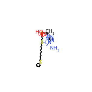 C[C@H](Cn1cnc2c(N)ncnc21)OCP(=O)(O)OCCCSCCCCCCCCCCCSc1ccccc1.N